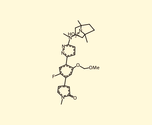 COCOc1cc(-c2ccn(C)c(=O)c2)c(F)cc1-c1ccc(N(C)C2CC3(C)CCC(C)(C2)N3C(=O)O)nn1